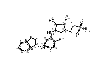 NS(=O)(=O)OC[C@H]1C[C@@H](Nc2nc(N[C@H]3CCc4ccccc43)ncc2F)C(O)[C@@H]1O